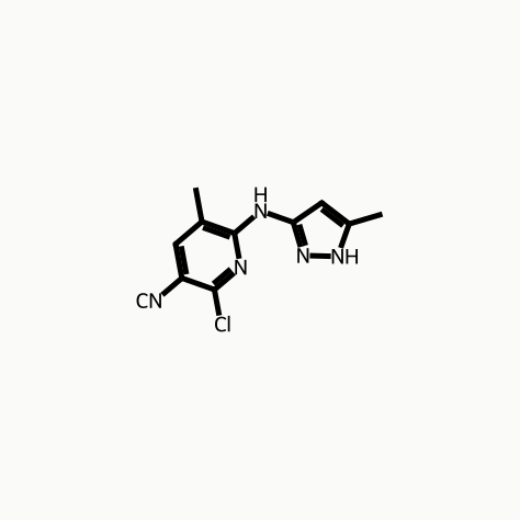 [C-]#[N+]c1cc(C)c(Nc2cc(C)[nH]n2)nc1Cl